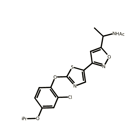 CC(=O)NC(C)c1cc(-c2cnc(Oc3ccc(OC(C)C)cc3Cl)s2)no1